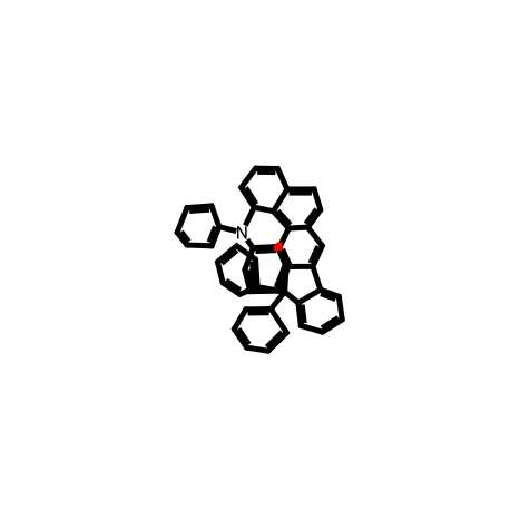 c1ccc(N(c2ccccc2)c2cccc3ccc4cc5c(cc4c23)C(c2ccccc2)(c2ccccc2)c2ccccc2-5)cc1